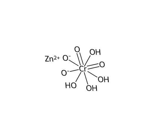 [O]=[Cr](=[O])([O-])([O-])([OH])([OH])([OH])[OH].[Zn+2]